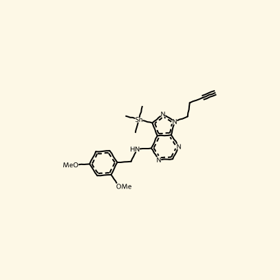 C#CCCn1n[c]([Sn]([CH3])([CH3])[CH3])c2c(NCc3ccc(OC)cc3OC)ncnc21